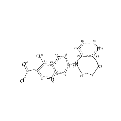 O=C(Cl)c1cnc2cc(N3CCCc4ncccc43)ccc2c1Cl